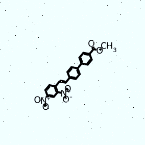 COC(=O)c1ccc(-c2ccc(/C=C/c3ccc([N+](=O)[O-])cc3[N+](=O)[O-])cc2)cc1